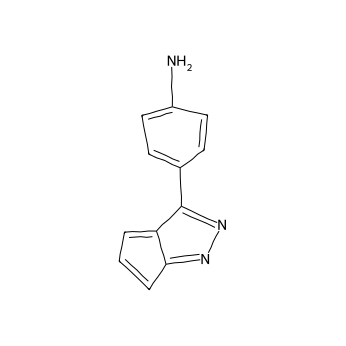 Nc1ccc(C2=NN=C3C=CC=C32)cc1